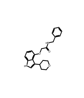 O=C(COc1cccc2[nH]cc(C3CCOCC3)c12)NCc1ccccc1